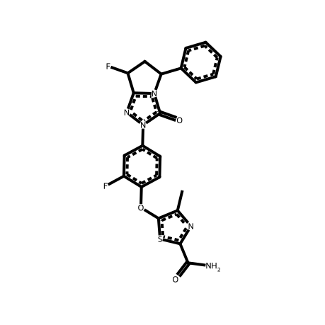 Cc1nc(C(N)=O)sc1Oc1ccc(-n2nc3n(c2=O)C(c2ccccc2)CC3F)cc1F